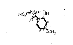 CN1CCN(S(=O)(=O)NC(=O)O)CC1.Cl